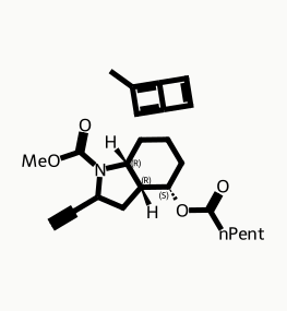 C#CC1C[C@H]2[C@@H](OC(=O)CCCCC)CCC[C@H]2N1C(=O)OC.Cc1cc2ccc1-2